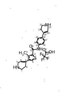 Cc1c(C2=CCNCC2)csc1C(=O)Nc1ccc(C2=CCNCC2)cc1.O=C(O)C(F)(F)F